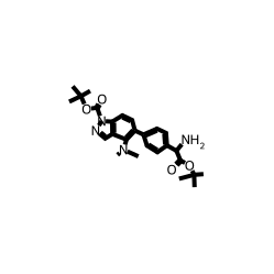 CN(C)c1c(-c2ccc(C(N)C(=O)OC(C)(C)C)cc2)ccc2c1cnn2C(=O)OC(C)(C)C